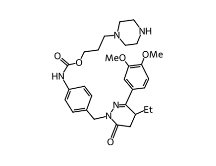 CCC1CC(=O)N(Cc2ccc(NC(=O)OCCCN3CCNCC3)cc2)N=C1c1ccc(OC)c(OC)c1